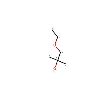 CCOCC(C)(C)[O]